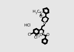 CN(CC(CCN1CCC(c2ccccc2[S+](C)[O-])CC1)c1ccc(Cl)c(Cl)c1)C(=O)c1ccccc1.Cl